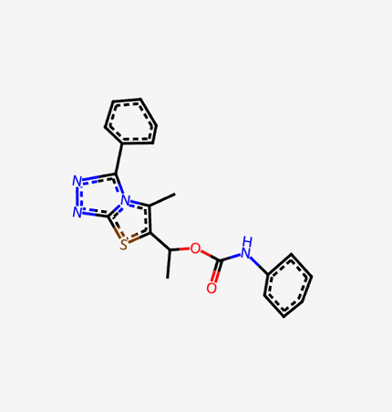 Cc1c(C(C)OC(=O)Nc2ccccc2)sc2nnc(-c3ccccc3)n12